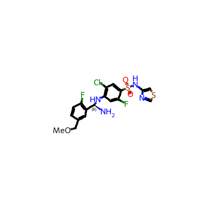 COCc1ccc(F)c([C@H](N)Nc2cc(F)c(S(=O)(=O)Nc3cscn3)cc2Cl)c1